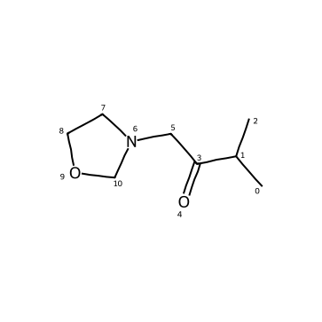 CC(C)C(=O)CN1CCOC1